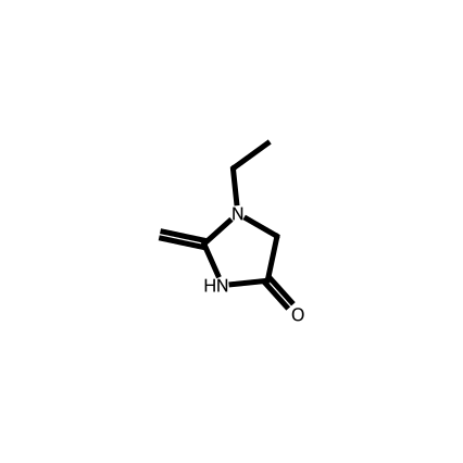 C=C1NC(=O)CN1CC